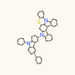 c1ccc(-c2ccc3c(c2)c2cc(-n4c5ccccc5c5c6c7ccccc7n7c6c(cc54)Sc4ccccc4-7)ccc2n3-c2ccccc2)cc1